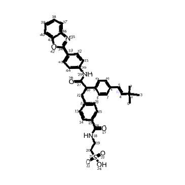 CC(C)(C)/C=C/c1ccc(C(Cc2ccc(C(=O)NCCS(=O)(=O)O)cc2)C(=O)Nc2ccc(-c3nc4ccccc4o3)cc2)cc1